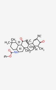 [C-]#[N+]C1=C[C@]2(C)C3=CC(=O)[C@@H]4[C@@H]5CC(C)(C)CC[C@]5(NC(=O)OC(C)C)CC[C@@]4(C)[C@]3(C)CC[C@H]2[C@H](C)C1=O